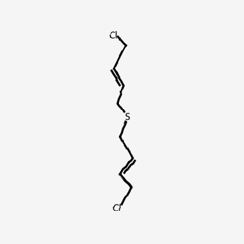 ClCC=CCSCC=CCCl